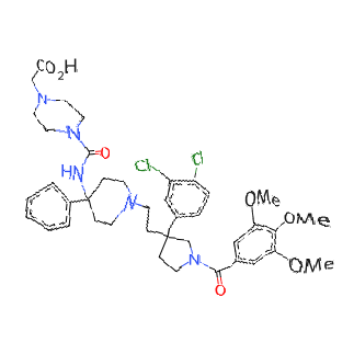 COc1cc(C(=O)N2CCC(CCN3CCC(NC(=O)N4CCN(CC(=O)O)CC4)(c4ccccc4)CC3)(c3ccc(Cl)c(Cl)c3)C2)cc(OC)c1OC